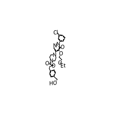 CCOCCOc1c(N2CCN(S(=O)(=O)Cc3ccc(CO)cc3)CC2)cnn(-c2cccc(Cl)c2)c1=O